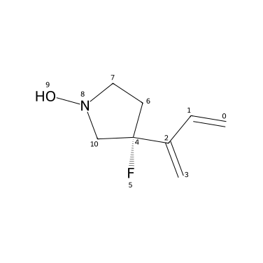 C=CC(=C)[C@]1(F)CCN(O)C1